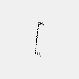 CCC=CC=CC=CC=CC=CC=CC=CC=CC=CCC=CC=CCC